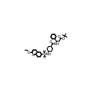 CCOc1ccc2cc(S(=O)(=O)NC3CCC(C(=O)NC(CC(=O)OC(C)(C)C)c4ccccc4)CC3)ccc2n1